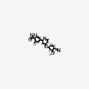 COc1cc(Oc2ccnc(-c3ccc(C(N)=O)c(C)c3)c2)ccc1C#N